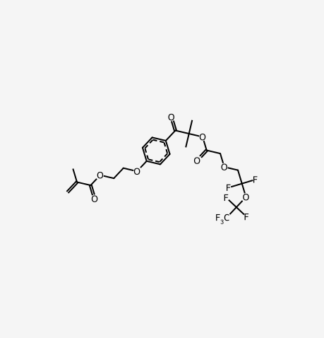 C=C(C)C(=O)OCCOc1ccc(C(=O)C(C)(C)OC(=O)COCC(F)(F)OC(F)(F)C(F)(F)F)cc1